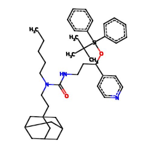 CCCCCN(CCC12CC3CC(CC(C3)C1)C2)C(=O)NCCC(O[Si](c1ccccc1)(c1ccccc1)C(C)(C)C)c1ccncc1